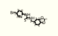 S=C(NCc1ccc2c(c1)OCO2)Nc1ccc(Br)cn1